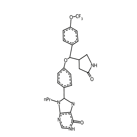 CCCN1c2nc[nH]c(=O)c2[N]C1c1ccc(OC(c2ccc(OC(F)(F)F)cc2)C2CNC(=O)C2)cc1